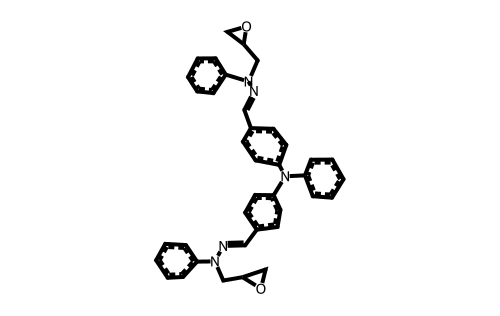 C(=NN(CC1CO1)c1ccccc1)c1ccc(N(c2ccccc2)c2ccc(C=NN(CC3CO3)c3ccccc3)cc2)cc1